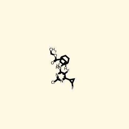 CCOC(=O)[C@H]1C2CCC(CC2)[C@@H]1Nc1nc(Cl)nc(C2CC2F)c1F